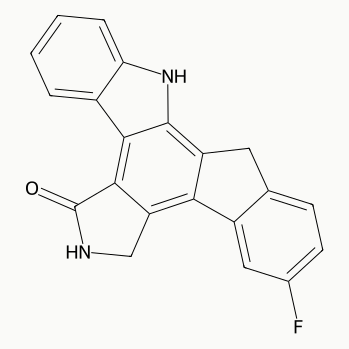 O=C1NCc2c3c(c4[nH]c5ccccc5c4c21)Cc1ccc(F)cc1-3